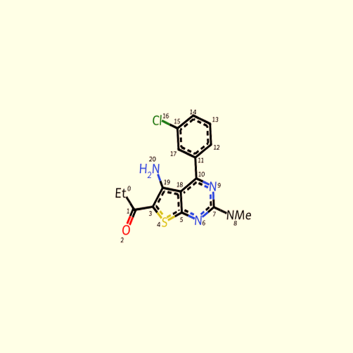 CCC(=O)c1sc2nc(NC)nc(-c3cccc(Cl)c3)c2c1N